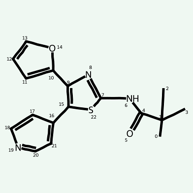 CC(C)(C)C(=O)Nc1nc(-c2ccco2)c(-c2ccncc2)s1